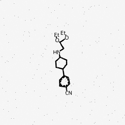 CCOC(CNC1CCC(c2ccc(C#N)cc2)CC1)OCC